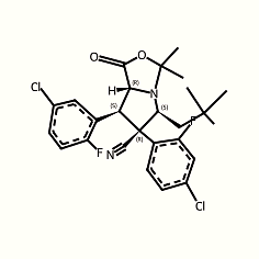 CC(C)(C)C[C@@H]1N2[C@@H](C(=O)OC2(C)C)[C@H](c2cc(Cl)ccc2F)[C@@]1(C#N)c1ccc(Cl)cc1F